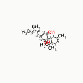 C=C(C)C1CCC(C)=CC1c1c(O)cc(CCC(C)CC)cc1O